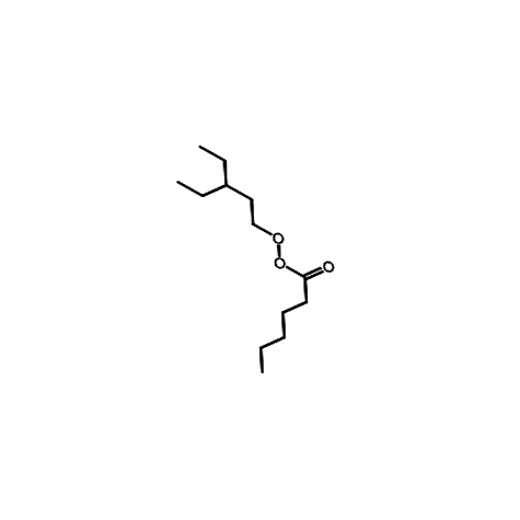 CCCCCC(=O)OOCCC(CC)CC